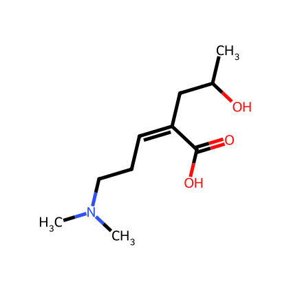 CC(O)CC(=CCCN(C)C)C(=O)O